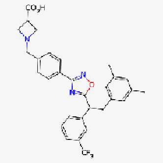 Cc1cc(C)cc(CC(c2cccc(C(F)(F)F)c2)c2nc(-c3ccc(CN4CC(C(=O)O)C4)cc3)no2)c1